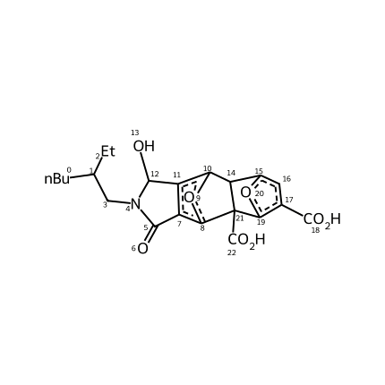 CCCCC(CC)CN1C(=O)c2c3oc(c2C1O)C1c2cc(C(=O)O)c(o2)C31C(=O)O